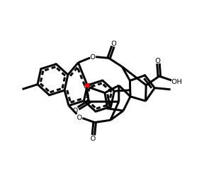 CC1=CC2C3C(=O)Oc4c5ccc(C)cc5c(c5ccc(C)cc45)OC(=O)C4C(C(=O)O)C5C(C)=CC4C25C1C3C(=O)O